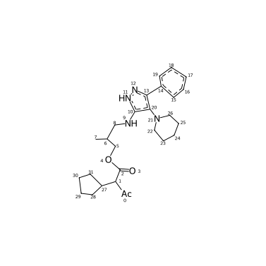 CC(=O)C(C(=O)OCC(C)CNc1[nH]nc(-c2ccccc2)c1N1CCCCC1)C1CCCC1